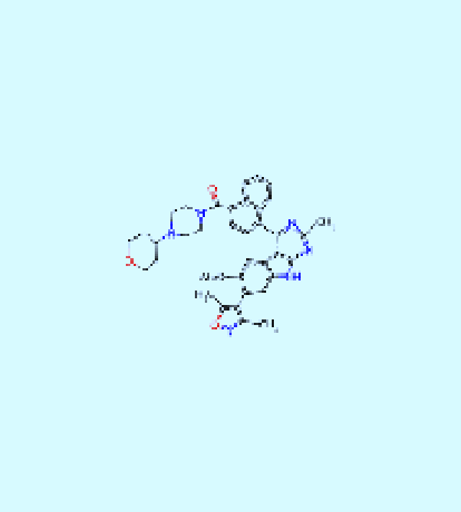 COc1cc2c(cc1-c1c(C)noc1C)[nH]c1nc(C)nc(-c3ccc(C(=O)N4CCN(C5CCOCC5)CC4)c4ccccc34)c12